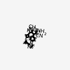 Cn1nc(C2CCC2)c2c1OC(N)=C(C#N)C2c1ccc(-n2ccnc2C2CC2)cc1